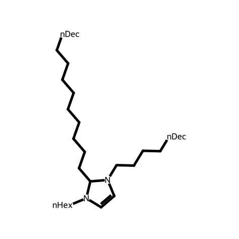 CCCCCCCCCCCCCCCCCCCC1N(CCCCCC)C=CN1CCCCCCCCCCCCCC